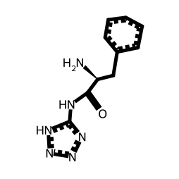 N[C@@H](Cc1ccccc1)C(=O)Nc1nnn[nH]1